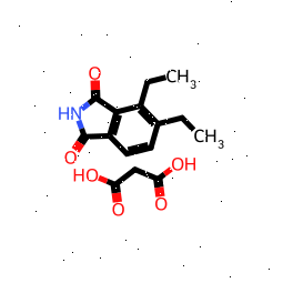 CCc1ccc2c(c1CC)C(=O)NC2=O.O=C(O)CC(=O)O